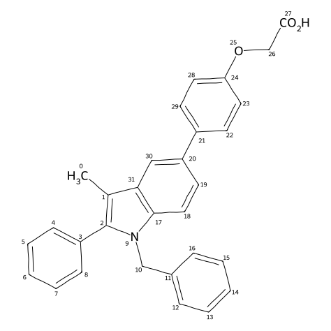 Cc1c(-c2ccccc2)n(Cc2ccccc2)c2ccc(-c3ccc(OCC(=O)O)cc3)cc12